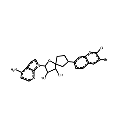 Nc1ncnc2c1ccn2C1OC2(CCC(c3ccc4cc(Br)c(Cl)nc4c3)C2)C(O)C1O